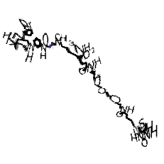 CN(C/C=C/C(=O)Nc1cccc(Nc2cc(Nc3cccc(Br)c3)ncn2)c1)CCCCC(CCC(=O)NCCCOCCOCCOCCCNC(=O)CCCC[C@@H]1SC[C@@H]2NC(=O)N[C@@H]21)C(N)=O